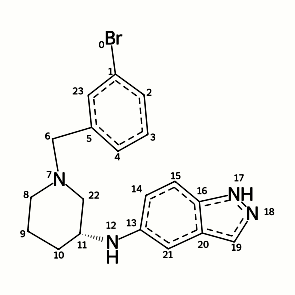 Brc1cccc(CN2CCC[C@@H](Nc3ccc4[nH]ncc4c3)C2)c1